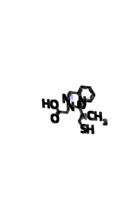 C[C@H](CS)C(=O)N(CC(=O)O)/N=C\c1ccccn1